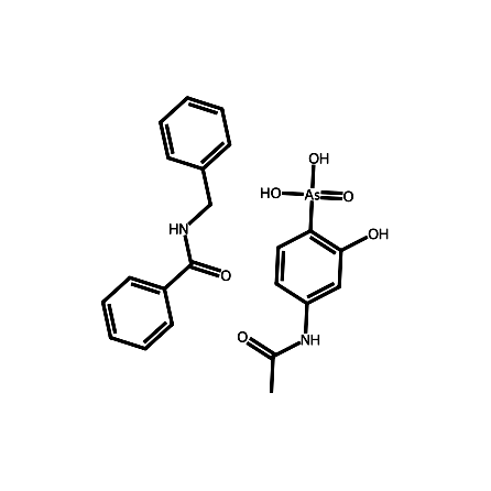 CC(=O)Nc1ccc([As](=O)(O)O)c(O)c1.O=C(NCc1ccccc1)c1ccccc1